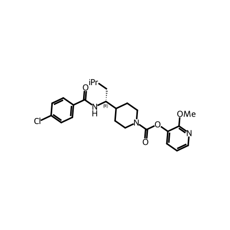 COc1ncccc1OC(=O)N1CCC([C@@H](CC(C)C)NC(=O)c2ccc(Cl)cc2)CC1